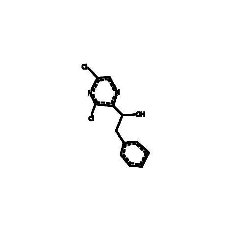 OC(Cc1ccccc1)c1ncc(Cl)nc1Cl